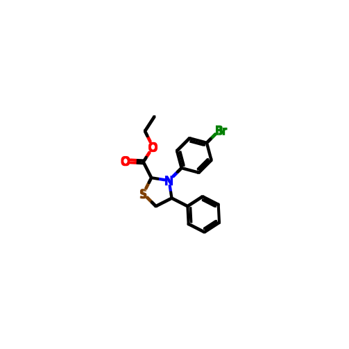 CCOC(=O)C1SCC(c2ccccc2)N1c1ccc(Br)cc1